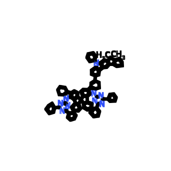 CC1(C)c2ccccc2-c2cc3c4cc(C5=Cc6c(n(-c7nc(-c8ccccc8)nc(-c8ccccc8)n7)c7c8c(ccc67)C6(c7ccccc7-c7c6ccc6c9c(n(-c%10nc(-c%11ccccc%11)nc(-c%11ccccc%11)n%10)c76)CCC=C9)c6ccccc6-8)CC5)ccc4n(-c4ccccc4)c3cc21